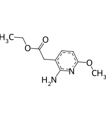 CCOC(=O)Cc1ccc(OC)nc1N